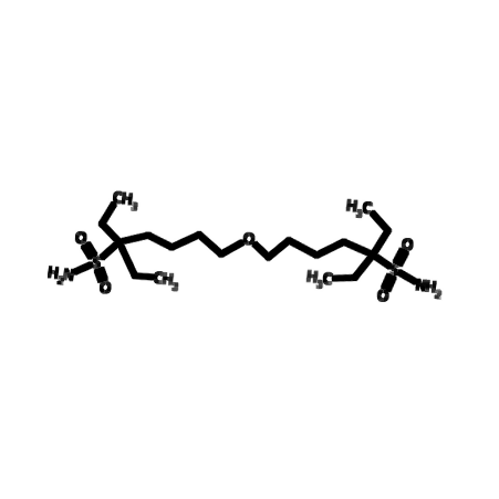 CCC(CC)(CCCCOCCCCC(CC)(CC)S(N)(=O)=O)S(N)(=O)=O